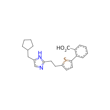 O=C(O)c1ccccc1-c1ccc(CCc2ncc(CC3CCCC3)[nH]2)s1